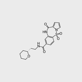 O=C(NCC[C@H]1CCCCO1)c1ccc2c(c1)NC(=O)c1cccn1S2(=O)=O